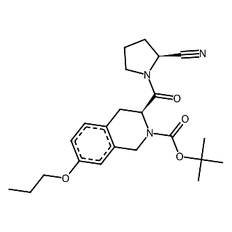 CCCOc1ccc2c(c1)CN(C(=O)OC(C)(C)C)[C@H](C(=O)N1CCC[C@H]1C#N)C2